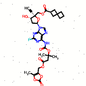 C#C[C@]1(COC(=O)C2CC3(CCC3)C2)O[C@@H](n2cnc3c(NC(=O)OC(C)(C)CC(=O)OCc4oc(=O)oc4C)nc(F)nc32)C[C@@H]1O